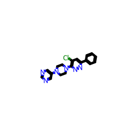 Clc1cc(-c2ccccc2)nnc1N1CCN(c2cncnc2)CC1